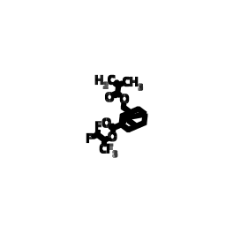 C=C(C)C(=O)OCC12CC3CC(C1)CC(C(=O)OC(C(F)F)C(F)(F)F)(C3)C2